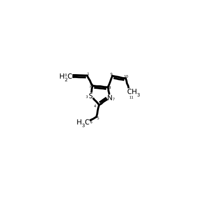 C=Cc1sc(CC)nc1/C=C\C